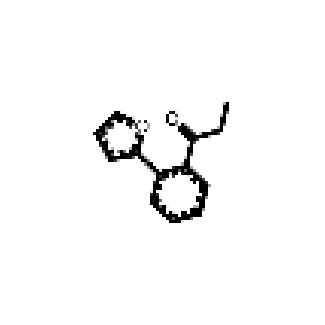 CCC(=O)c1ccccc1-c1ccco1